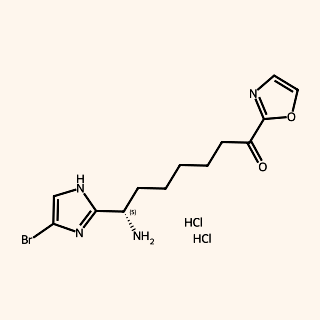 Cl.Cl.N[C@@H](CCCCCC(=O)c1ncco1)c1nc(Br)c[nH]1